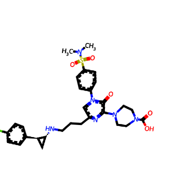 CN(C)S(=O)(=O)c1ccc(-n2cc(CCCN[C@@H]3C[C@H]3c3ccc(F)cc3)nc(N3CCN(C(=O)O)CC3)c2=O)cc1